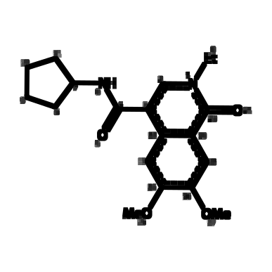 CCn1cc(C(=O)NC2CCCC2)c2cc(OC)c(OC)cc2c1=O